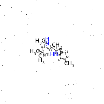 C=C(C1=C(NC)CC(C)(C)CC1)c1cc2c([nH]1)C=C(C)CC2